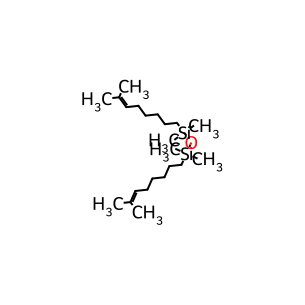 CC(C)=CCCCCC[Si](C)(C)O[Si](C)(C)CCCCCC=C(C)C